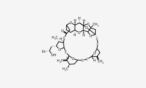 C=C1CC2CC[C@@]34C[C@@]5(C)O[C@H]6[C@@H](O3)[C@H]3OC(CC[C@@H]3O[C@H]6C5O4)CC(=O)C[C@H]3C(C[C@H]4OC(CC[C@@H]1O2)C[C@@H](C)C4=C)O[C@H](C[C@H](O)CC)[C@@H]3C